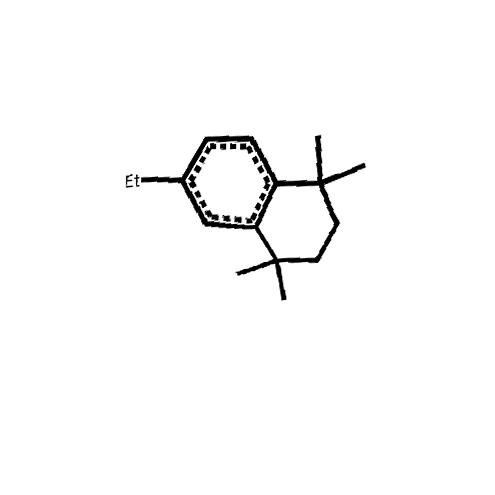 [CH2]Cc1ccc2c(c1)C(C)(C)CCC2(C)C